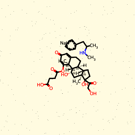 CNC(C)Cc1ccccc1.C[C@@]12C(=CC(=O)C=C1OC(=O)CCC(=O)O)CC[C@@H]1[C@@H]2[C@@H](O)C[C@@]2(C)[C@H]1CC[C@]2(O)C(=O)CO.[NaH]